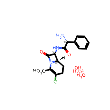 N[C@@H](C(=O)N[C@@H]1C(=O)N2C(C(=O)O)=C(Cl)CC[C@H]12)c1ccccc1.O.O.O